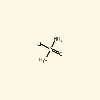 CP(N)(=O)Cl